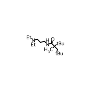 CCN(CC)CCCNC(=O)C(C)(CC(C)(C)C)C(C)(C)C